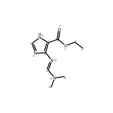 CCOC(=O)c1[nH]cnc1/N=C/N(C)C